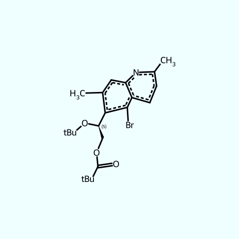 Cc1ccc2c(Br)c([C@@H](COC(=O)C(C)(C)C)OC(C)(C)C)c(C)cc2n1